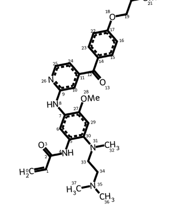 C=CC(=O)Nc1cc(Nc2cc(C(=O)c3ccc(OCCOC)cc3)ccn2)c(OC)cc1N(C)CCN(C)C